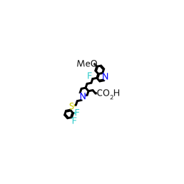 COc1ccc2nccc([C@@H](F)CCC3CCN(CCCSc4cccc(F)c4F)CC3CCC(=O)O)c2c1